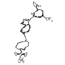 CS(=O)(=O)N1CCN(c2ccc3c(cnn3-c3cc(C(F)(F)F)cc(O)n3)c2)CC1